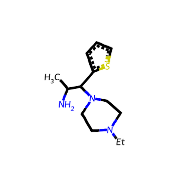 CCN1CCN(C(c2cccs2)C(C)N)CC1